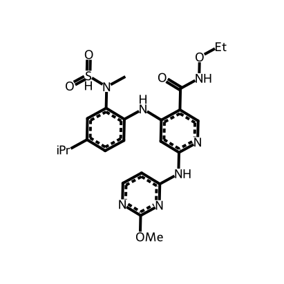 CCONC(=O)c1cnc(Nc2ccnc(OC)n2)cc1Nc1ccc(C(C)C)cc1N(C)[SH](=O)=O